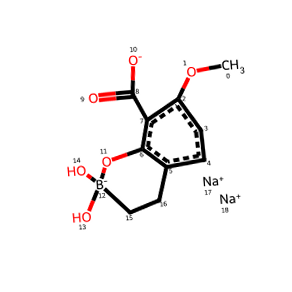 COc1ccc2c(c1C(=O)[O-])O[B-](O)(O)CC2.[Na+].[Na+]